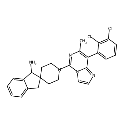 Cc1nc(N2CCC3(CC2)Cc2ccccc2C3N)n2ccnc2c1-c1cccc(Cl)c1Cl